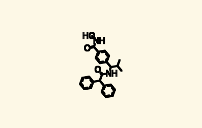 CC(C)C(NC(=O)C(c1ccccc1)c1ccccc1)c1ccc(C(=O)NO)cc1